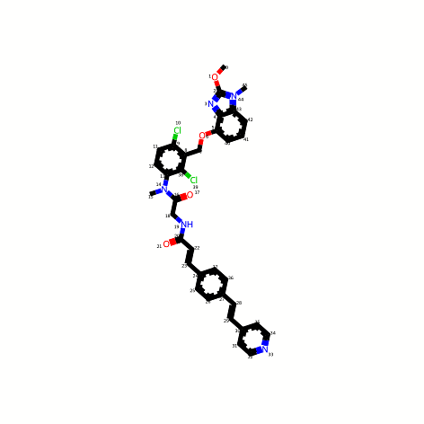 COc1nc2c(OCc3c(Cl)ccc(N(C)C(=O)CNC(=O)/C=C/c4ccc(/C=C/c5ccncc5)cc4)c3Cl)cccc2n1C